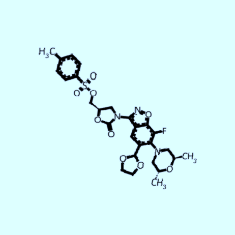 Cc1ccc(S(=O)(=O)OC[C@H]2CN(c3noc4c(F)c(N5C[C@@H](C)O[C@H](C)C5)c(C5OCCO5)cc34)C(=O)O2)cc1